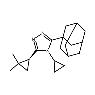 CC1(C)C[C@@H]1c1nnc(C23CC4CC(CC(C4)C2)C3)n1C1CC1